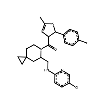 CC1=NC(C(=O)N2CCC3(CC3)CC2CNc2ccc(Cl)cn2)C(c2ccc(F)cc2)S1